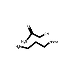 CCCCCCCCN.N#CCC(N)=O